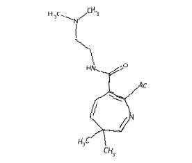 CC(=O)C1=C(C(=O)NCCN(C)C)C=CC(C)(C)C=N1